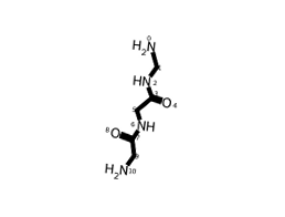 NCNC(=O)CNC(=O)CN